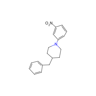 O=[N+]([O-])c1cccc(N2CCC(Cc3ccccc3)CC2)c1